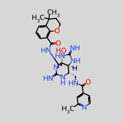 Cc1cc(C(=O)NC[C@@H]2NC(=N)N3CC(NC(=O)c4cccc5c4OCCC5(C)C)[C@@H](O)[C@@]34NC(=N)N[C@@H]24)ccn1